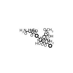 CC(=O)OCC1=C(C(=O)O)N2C(=O)C(N(C(=O)c3cnc(-c4ccc(N(C(C)=O)C(=O)C(N)CCC(N)=O)cc4)nc3O)C(=O)C(N)c3ccccc3)[C@@H]2SC1